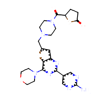 Nc1ncc(-c2nc(N3CCOCC3)c3sc(CN4CCN(C(=O)C5CCC(=O)S5)CC4)cc3n2)cn1